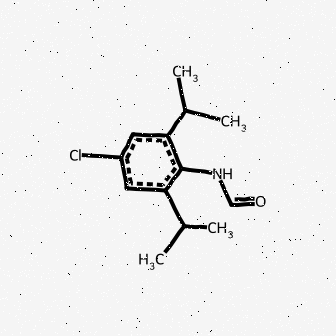 CC(C)c1cc(Cl)cc(C(C)C)c1NC=O